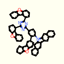 c1ccc2cc3c(cc2c1)c1cc2ccccc2cc1n3-c1ccc(-c2nc(-c3cccc4oc5ccccc5c34)nc(-c3cccc4oc5ccccc5c34)n2)cc1-c1ccc2oc3ccccc3c2c1